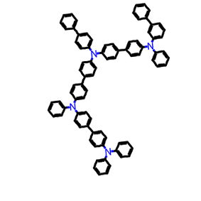 c1ccc(-c2ccc(N(c3ccc(-c4ccc(N(c5ccccc5)c5ccc(-c6ccc(N(c7ccccc7)c7ccccc7)cc6)cc5)cc4)cc3)c3ccc(-c4ccc(N(c5ccccc5)c5cccc(-c6ccccc6)c5)cc4)cc3)cc2)cc1